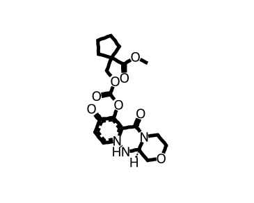 COC(=O)C1(COC(=O)Oc2c3n(ccc2=O)N[C@@H]2COCCN2C3=O)CCCC1